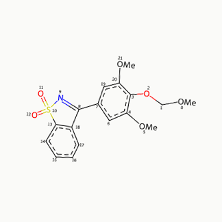 COCOc1c(OC)cc(C2=NS(=O)(=O)c3ccccc32)cc1OC